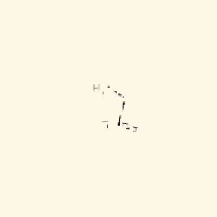 C=CCN.[Ti]